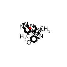 Cc1cc2ncnn2cc1NC1CC(=O)CCC12CN=C1N(C)c3cncnc3N12